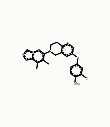 COc1ccc(Oc2cnc3c(c2)CN(c2nn4cnnc4c(C)c2C)CC3)cc1Cl